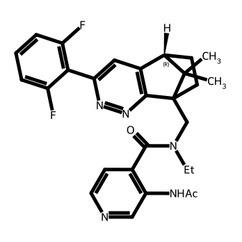 CCN(CC12CC[C@@H](c3cc(-c4c(F)cccc4F)nnc31)C2(C)C)C(=O)c1ccncc1NC(C)=O